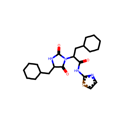 O=C(Nc1n[c]cs1)C(CC1CCCCC1)N1C(=O)NC(CC2CCCCC2)C1=O